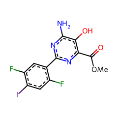 COC(=O)c1nc(-c2cc(F)c(I)cc2F)nc(N)c1O